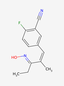 CCC(=NO)C(C)=Cc1ccc(F)c(C#N)c1